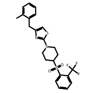 Cc1ccccc1Cc1csc(N2CCC(S(=O)(=O)c3ccccc3C(F)(F)F)CC2)n1